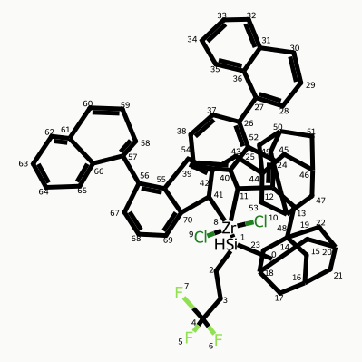 C[SiH](CCC(F)(F)F)[Zr]([Cl])([Cl])([CH]1C(CC23CC4CC(CC(C4)C2)C3)=Cc2c(-c3cccc4ccccc34)cccc21)[CH]1C(CC23CC4CC(CC(C4)C2)C3)=Cc2c(-c3cccc4ccccc34)cccc21